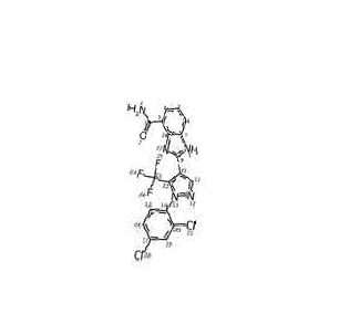 NC(=O)c1cccc2[nH]c(-c3cnn(-c4ccc(Cl)cc4Cl)c3C(F)(F)F)nc12